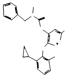 Cc1cccc(C2CC2)c1Oc1nnc(Cl)cc1OC(=O)N(C)Cc1ccccc1